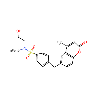 CCCCCN(CCO)S(=O)(=O)c1ccc(Cc2ccc3oc(=O)cc(C(F)(F)F)c3c2)cc1